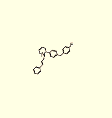 Fc1ccc(Cc2ccc(C3CC=CCN3CC=Cc3ccccc3)cc2)cc1